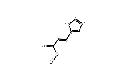 CCOC(=O)C=Cc1cncs1